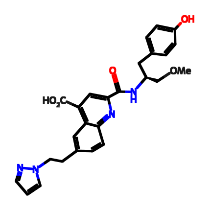 COC[C@H](Cc1ccc(O)cc1)NC(=O)c1cc(C(=O)O)c2cc(CCn3cccn3)ccc2n1